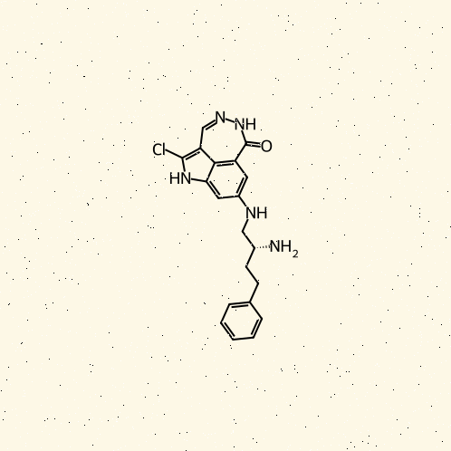 N[C@H](CCc1ccccc1)CNc1cc2c3c(c(Cl)[nH]c3c1)C=NNC2=O